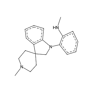 CNc1ccccc1N1CC2(CCN(C)CC2)c2ccccc21